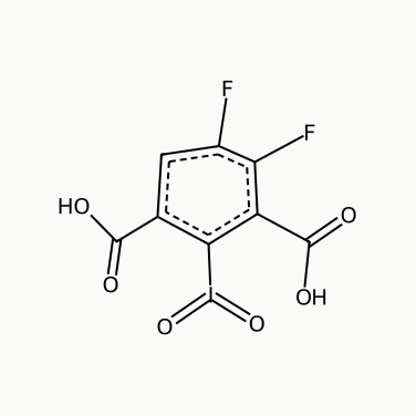 O=C(O)c1cc(F)c(F)c(C(=O)O)c1I(=O)=O